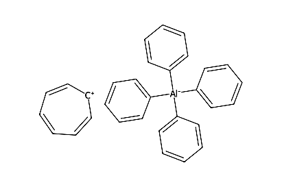 c1cc[c]([Al-]([c]2ccccc2)([c]2ccccc2)[c]2ccccc2)cc1.c1ccc[cH+]cc1